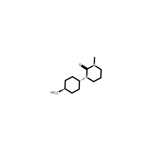 CN1CCCN([C@H]2CC[C@H](C(=O)O)CC2)C1=O